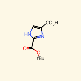 CC(C)(C)OC(=O)c1nc(C(=O)O)c[nH]1